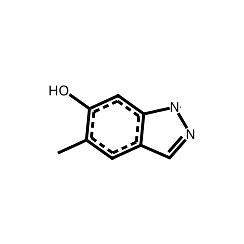 Cc1cc2c(cc1O)[N]N=C2